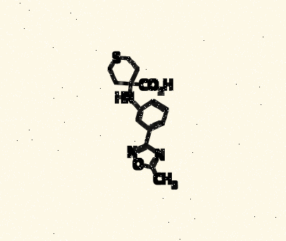 Cc1nc(-c2cccc(NC3(C(=O)O)CCSCC3)c2)no1